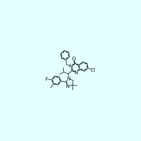 Cc1cc(C2=NC(C)(C)CN2C(c2nc3cc(Cl)ccc3c(=O)n2Cc2ccccc2)C(C)C)ccc1F